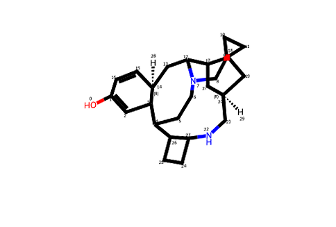 OC1=CC2C3CCN(CC4CC4)C(C[C@@H]2C=C1)C1CC[C@@H](CNC2CCC23)C1